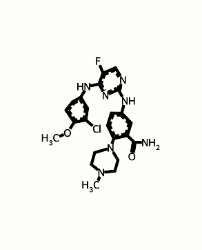 COc1ccc(Nc2nc(Nc3ccc(N4CCN(C)CC4)c(C(N)=O)c3)ncc2F)cc1Cl